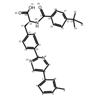 Cc1cccc(-c2cnc(-c3ccc(C[C@H](NC(=O)c4ccc(C(C)(C)C)cc4)C(=O)O)cc3)nc2)c1